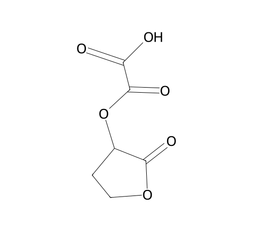 O=C(O)C(=O)OC1CCOC1=O